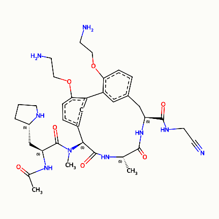 CC(=O)N[C@@H](C[C@@H]1CCCN1)C(=O)N(C)[C@@H]1C(=O)N[C@@H](C)C(=O)N[C@H](C(=O)NCC#N)Cc2ccc(OCCN)c(c2)-c2cc1ccc2OCCN